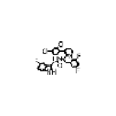 O=C(Cc1c[nH]c2ccc(F)cc12)NC(Cc1cc(F)cc(F)c1)c1ncccc1-c1ccc(Cl)cc1Cl